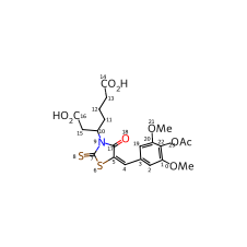 COc1cc(C=C2SC(=S)N(C(CCCC(=O)O)CC(=O)O)C2=O)cc(OC)c1OC(C)=O